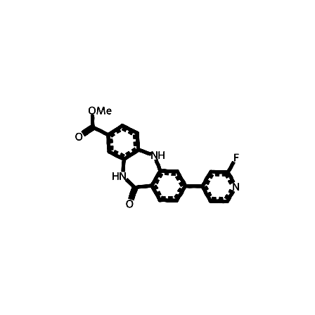 COC(=O)c1ccc2c(c1)NC(=O)c1ccc(-c3ccnc(F)c3)cc1N2